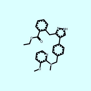 CCOC(=O)c1ccccc1Cc1n[nH]cc1-c1ccc(CN(C)c2ncccc2OC)cc1